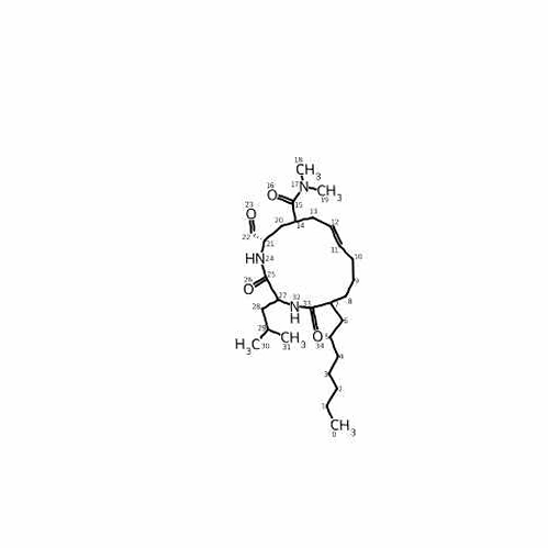 CCCCCCCC1CCC/C=C/CC(C(=O)N(C)C)C[C@@H](C=O)NC(=O)C(CC(C)C)NC1=O